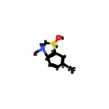 CC(=O)c1ccc2c(c1)[S+]([O-])CN2C